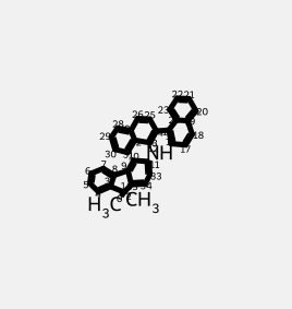 CC1(C)c2ccccc2-c2cc(Nc3c(-c4cccc5ccccc45)ccc4ccccc34)ccc21